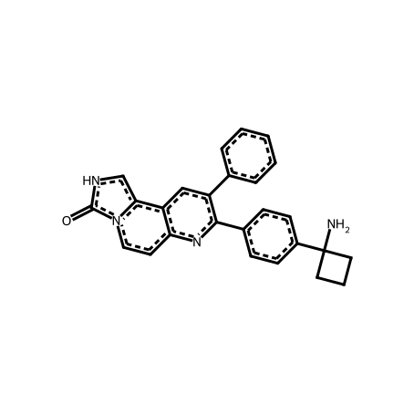 NC1(c2ccc(-c3nc4ccn5c(=O)[nH]cc5c4cc3-c3ccccc3)cc2)CCC1